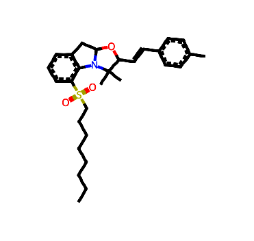 CCCCCCCCS(=O)(=O)c1cccc2c1N1C(C2)OC(C=Cc2ccc(C)cc2)C1(C)C